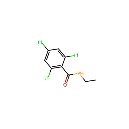 CCPC(=O)c1c(Cl)cc(Cl)cc1Cl